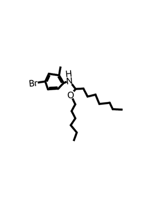 CCCCCCCC(Nc1ccc(Br)cc1C)OCCCCCC